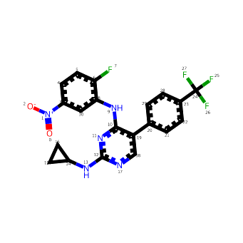 O=[N+]([O-])c1ccc(F)c(Nc2nc(NC3CC3)ncc2-c2ccc(C(F)(F)F)cc2)c1